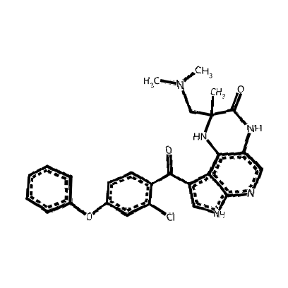 CN(C)CC1(C)Nc2c(cnc3[nH]cc(C(=O)c4ccc(Oc5ccccc5)cc4Cl)c23)NC1=O